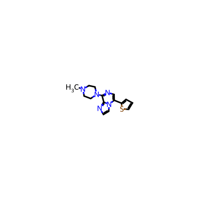 CN1CCN(c2ncc(-c3cccs3)n3ccnc23)CC1